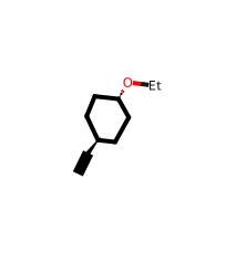 C#C[C@H]1CC[C@H](OCC)CC1